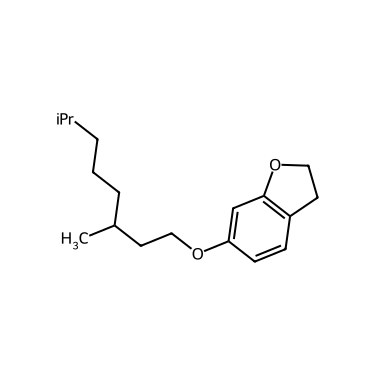 CC(C)CCCC(C)CCOc1ccc2c(c1)OCC2